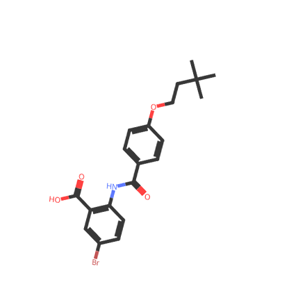 CC(C)(C)CCOc1ccc(C(=O)Nc2ccc(Br)cc2C(=O)O)cc1